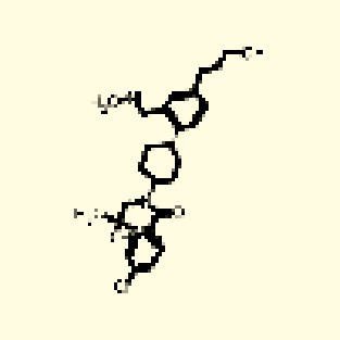 CNCc1cc(CCCO)ccc1[C@H]1CC[C@H](N(CC(C)(C)C)C(=O)c2ccc(Cl)cc2)CC1